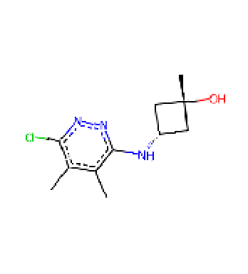 Cc1c(Cl)nnc(N[C@H]2C[C@@](C)(O)C2)c1C